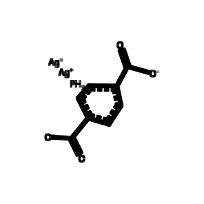 O=C([O-])c1ccc(C(=O)[O-])cc1.P.[Ag+].[Ag+]